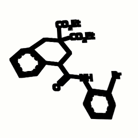 CCOC(=O)C1(C(=O)OCC)Cc2ccccc2C(C(=O)Nc2ccccc2Br)C1